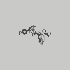 Cn1cnc(C[C@@H]2C(NC(=O)C3CO3)SC2C(=O)Nc2nc(-c3ccc(F)cc3)cs2)c1